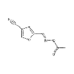 CC(=O)ON=Cc1cc(C#N)co1